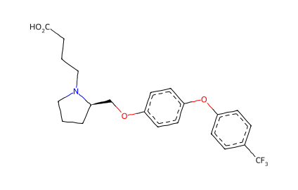 O=C(O)CCCN1CCC[C@@H]1COc1ccc(Oc2ccc(C(F)(F)F)cc2)cc1